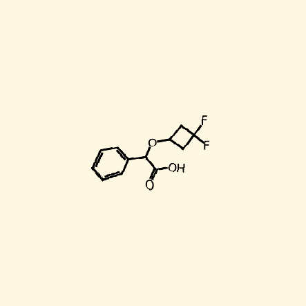 O=C(O)C(OC1CC(F)(F)C1)c1ccccc1